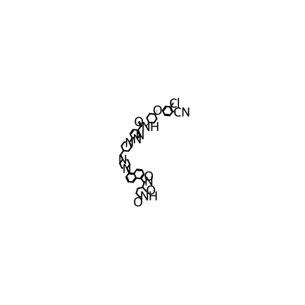 N#Cc1ccc(O[C@H]2CC[C@H](NC(=O)c3ccc(N4CCC(CN5CCN(c6cccc7c6ccc6onc(C8CCC(=O)NC8=O)c67)CC5)CC4)nn3)CC2)cc1Cl